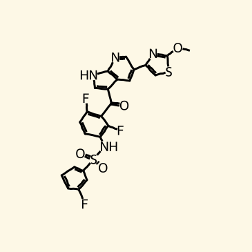 COc1nc(-c2cnc3[nH]cc(C(=O)c4c(F)ccc(NS(=O)(=O)c5cccc(F)c5)c4F)c3c2)cs1